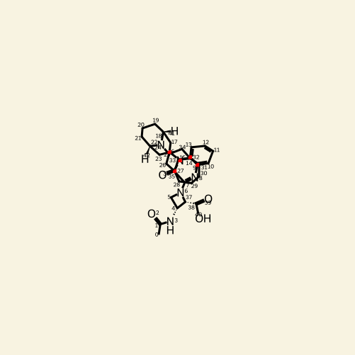 CC(=O)N[C@@H]1CN(c2nc3ccccc3n(C3C[C@H]4CCC[C@@H](C3)N4C3CC4CCCCC(C4)C3)c2=O)[C@@H]1C(=O)O